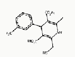 CCOC(=O)C1=C(C)NC(CS)=C(C(=O)OCC)C1c1cccc(C(F)(F)F)c1